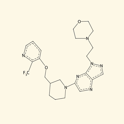 FC(F)(F)c1ncccc1OCC1CCCN(c2cnc3cnn(CCN4CCOCC4)c3n2)C1